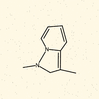 CC1=C2C=CC=CN2N(C)C1